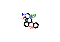 Cl.Cl.O=C1NCCN2C[C@@H](c3ccccc3)c3c(O)cccc3[C@H]12